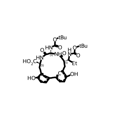 CCC(NC(=O)OC(C)(C)C)[C@@H]1Cc2cc(ccc2O)-c2ccc(O)c(c2)C[C@@H](C(=O)O)NC(=O)[C@H](NC(=O)OC(C)(C)C)NC1=O